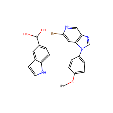 CC(C)Oc1ccc(-n2cnc3cnc(Br)cc32)cc1.OB(O)c1ccc2[nH]ccc2c1